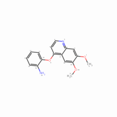 COc1cc2nccc(Oc3ccccc3N)c2cc1OC